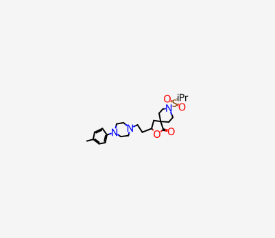 Cc1ccc(N2CCN(CCC3CC4(CCN(S(=O)(=O)C(C)C)CC4)C(=O)O3)CC2)cc1